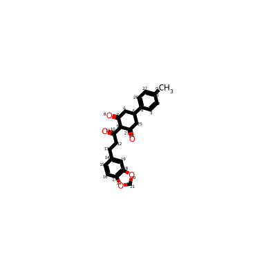 Cc1ccc(C2CC(=O)C(C(=O)CCc3ccc4c(c3)OCO4)C(=O)C2)cc1